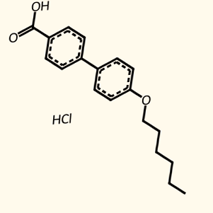 CCCCCCOc1ccc(-c2ccc(C(=O)O)cc2)cc1.Cl